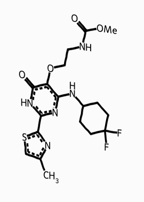 COC(=O)NCCOc1c(NC2CCC(F)(F)CC2)nc(-c2nc(C)cs2)[nH]c1=O